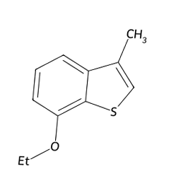 CCOc1cccc2c(C)csc12